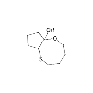 OC12CCCC1SCCCCO2